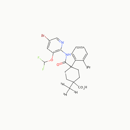 [2H]C([2H])([2H])C1(C(=O)O)CCC(C(=O)Nc2ncc(Br)cc2OC(F)F)(c2ccccc2C(C)C)CC1